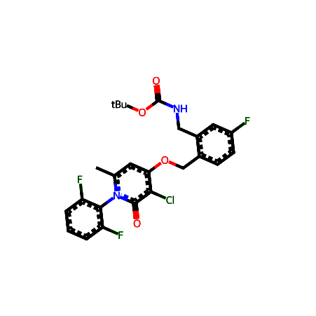 Cc1cc(OCc2ccc(F)cc2CNC(=O)OC(C)(C)C)c(Cl)c(=O)n1-c1c(F)cccc1F